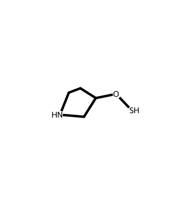 SOC1CCNC1